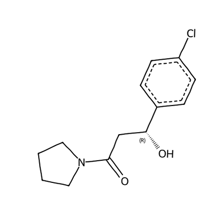 O=C(C[C@@H](O)c1ccc(Cl)cc1)N1CCCC1